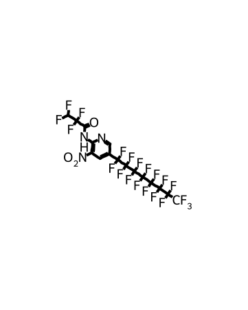 O=C(Nc1ncc(C(F)(F)C(F)(F)C(F)(F)C(F)(F)C(F)(F)C(F)(F)C(F)(F)C(F)(F)F)cc1[N+](=O)[O-])C(F)(F)C(F)F